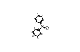 [Zr][P](c1ccccc1)c1ccccc1